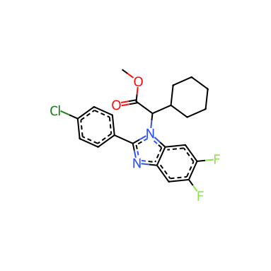 COC(=O)C(C1CCCCC1)n1c(-c2ccc(Cl)cc2)nc2cc(F)c(F)cc21